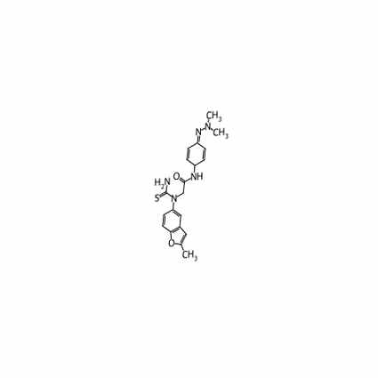 Cc1cc2cc(N(CC(=O)NC3C=CC(=NN(C)C)C=C3)C(N)=S)ccc2o1